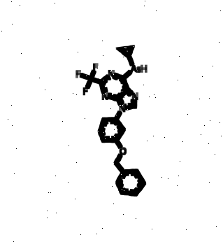 FC(F)(F)c1nc([AsH]C2CC2)c2ncn(-c3cccc(OCc4ccccc4)c3)c2n1